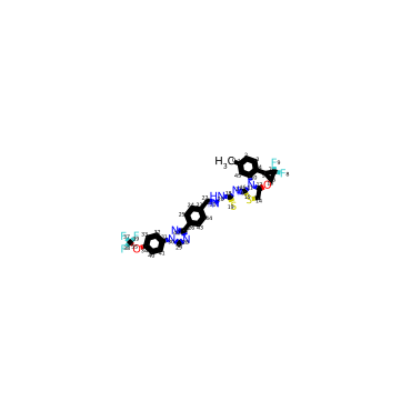 Cc1ccc(C2CC2(F)F)c(N2C(=O)CS/C2=N\C(=S)N/N=C/c2ccc(-c3ncn(-c4ccc(OC(F)(F)F)cc4)n3)cc2)c1